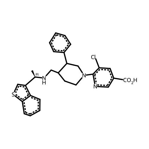 C[C@@H](NCC1CCN(c2ncc(C(=O)O)cc2Cl)CC1c1ccccc1)c1csc2ccccc12